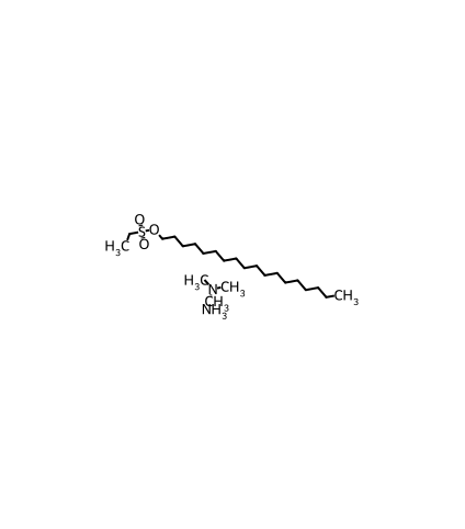 CCCCCCCCCCCCCCCCCCOS(=O)(=O)CC.CN(C)C.N